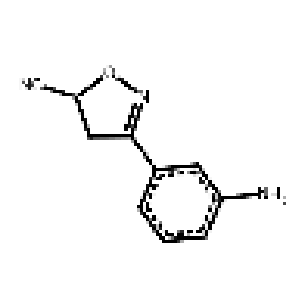 N#CC1CC(c2cccc(N)c2)=NO1